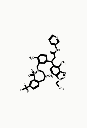 CCn1nnc2c(C)c(C(CC(=O)Nc3cccnc3)c3ccc(C)c(CN4C[C@@H](C)Cc5ccc(C(F)(F)F)cc5S4(=O)=O)c3)ccc21